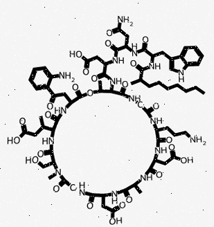 CCCCCCCC(C)C(=O)NC(Cc1c[nH]c2ccccc12)C(=O)NC(CC(N)=O)C(=O)NC(CC(=O)O)C(=O)NC1C(=O)NCC(=O)NC(CCCN)C(=O)NC(CC(=O)O)C(=O)NC(C)C(=O)NC(CC(=O)O)C(=O)NCC(=O)N(C)C(CO)C(=O)NC(C(C)CC(=O)O)C(=O)NC(CC(=O)c2ccccc2N)C(=O)OC1C